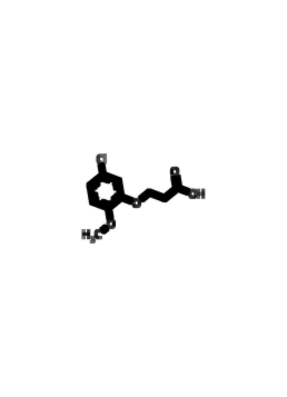 COc1ccc(Cl)cc1OCCC(=O)O